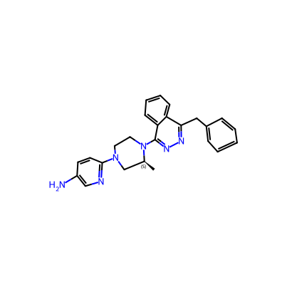 C[C@H]1CN(c2ccc(N)cn2)CCN1c1nnc(Cc2ccccc2)c2ccccc12